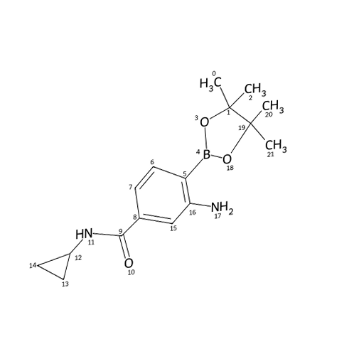 CC1(C)OB(c2ccc(C(=O)NC3CC3)cc2N)OC1(C)C